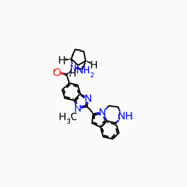 Cn1c(-c2cc3cccc4c3n2CCN4)nc2cc(C(=O)N3C[C@H]4CC[C@@H]3[C@@H]4N)ccc21